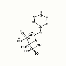 O=P(O)(O)C(O)(CCCN1CCNCC1)P(=O)(O)O